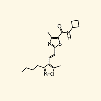 CCCCc1noc(C)c1/C=C/c1nc(C)c(C(=O)NC2CCC2)s1